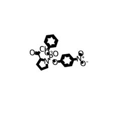 CC(=O)[C@@H]1CCCN1P(=O)(Oc1ccccc1)Oc1ccc([N+](=O)[O-])cc1